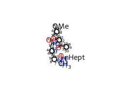 CCCCCCCNC(=O)N(C)c1cccc(-c2ccc(C[C@H](Nc3ccccc3C(=O)c3ccccc3)C(=O)OCc3cccc(OC)c3)cc2)c1